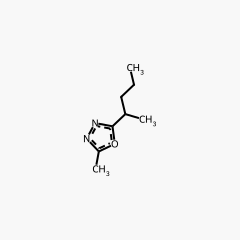 CCCC(C)c1nnc(C)o1